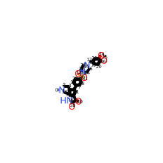 CN1CCc2c(-c3ccc(S(=O)(=O)N4CCN(Cc5ccc6c(c5)OCO6)CC4)cc3)cc3c(c2C1)NC(=O)C3=O